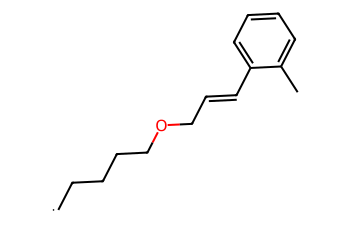 [CH2]CCCCOC/C=C/c1ccccc1C